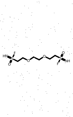 N=S(=O)(F)CCOCCOCCS(=N)(=O)F